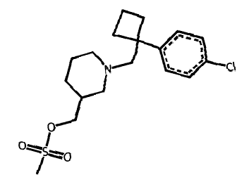 CS(=O)(=O)OCC1CCCN(CC2(c3ccc(Cl)cc3)CCC2)C1